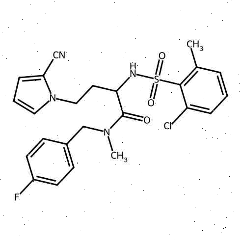 Cc1cccc(Cl)c1S(=O)(=O)NC(CCn1cccc1C#N)C(=O)N(C)Cc1ccc(F)cc1